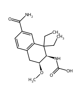 CCC1(CC)c2cc(C(N)=O)ccc2C[C@H](OC)[C@@H]1NC(=O)O